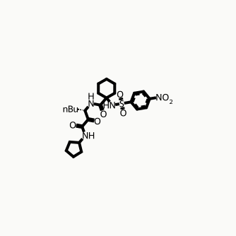 CCCC[C@H](NC(=O)C1(NS(=O)(=O)c2ccc([N+](=O)[O-])cc2)CCCCC1)C(=O)C(=O)NC1CCCC1